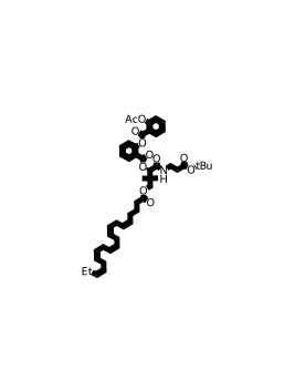 CC/C=C\C/C=C\C/C=C\C/C=C\C/C=C\CCCC(=O)OCC(C)(C)[C@@H](OC(=O)c1ccccc1OC(=O)c1ccccc1OC(C)=O)C(=O)NCCC(=O)OC(C)(C)C